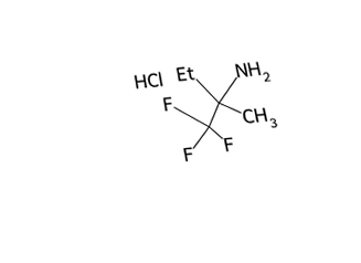 CCC(C)(N)C(F)(F)F.Cl